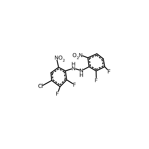 O=[N+]([O-])c1ccc(F)c(F)c1NNc1c([N+](=O)[O-])cc(Cl)c(F)c1F